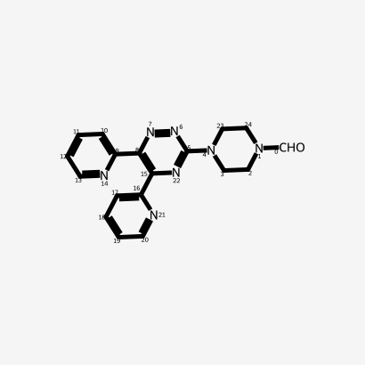 O=CN1CCN(c2nnc(-c3ccccn3)c(-c3ccccn3)n2)CC1